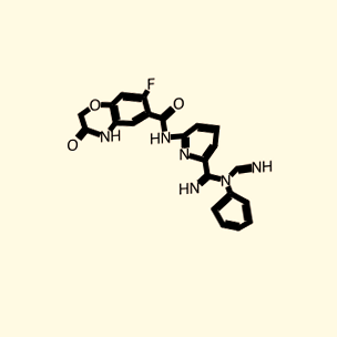 N=CN(C(=N)c1cccc(NC(=O)c2cc3c(cc2F)OCC(=O)N3)n1)c1ccccc1